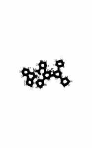 c1ccc(-c2cc(-c3ccccc3)c3sc4c(-c5ccccc5-c5cnc6c7ccccc7c7ccccc7c6n5)cc(-c5ccccc5)cc4c3c2)cc1